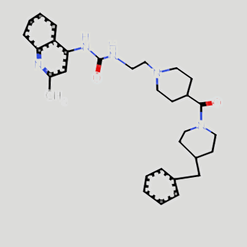 Cc1cc(NC(=O)NCCN2CCC(C(=O)N3CCC(Cc4ccccc4)CC3)CC2)c2ccccc2n1